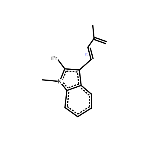 C=C(C)/C=C/c1c(C(C)C)n(C)c2ccccc12